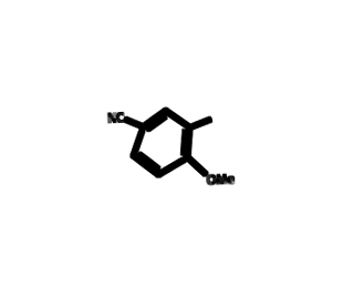 COc1ccc(C#N)cc1C